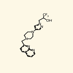 OC(Cn1cc(N2CCN(Cc3ccc4cccnc4n3)CC2)cn1)C(F)(F)F